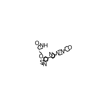 O=C1C[C@@H](CCOc2cc(-c3ccc(N4CCN(C5CCOCC5)CC4)cn3)cc3ncsc23)CN1